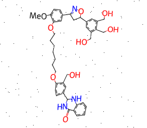 COc1ccc(C2=NOC(c3cc(CO)c(CO)c(CO)c3)C2)cc1OCCCCCCCOc1ccc(C2NC(=O)c3ccccc3N2)cc1CO